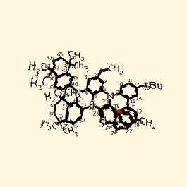 C=Cc1cc2c3c(c1)N(c1ccc(C(C)(C)C)cc1-c1ccccc1)c1c(sc4ccc(C)cc14)B3c1ccc3c(c1N2c1ccc2c(c1)C(C)(C)CCC2(C)C)C(C)(C)CCC3(C)C